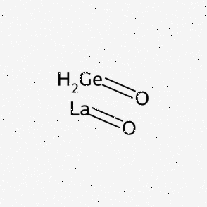 [O]=[GeH2].[O]=[La]